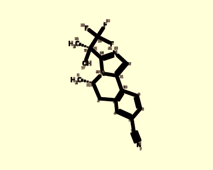 C[C@H]1Cc2cc(C#N)ccc2-c2cnc([C@@](C)(O)C(F)(F)F)n21